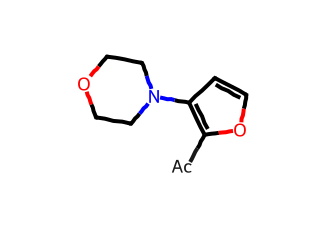 CC(=O)c1occc1N1CCOCC1